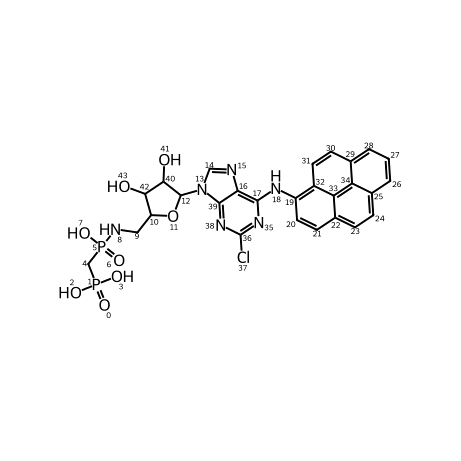 O=P(O)(O)CP(=O)(O)NCC1OC(n2cnc3c(Nc4ccc5ccc6cccc7ccc4c5c67)nc(Cl)nc32)C(O)C1O